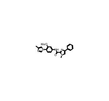 COc1cc(NC(=O)c2nc(-c3ccccc3)cn2C)ccc1-n1cnc(C)c1